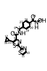 C[C@H](NC(=O)c1nc(-c2nccs2)sc1C1CC1)c1ccc(C(=O)NO)cc1